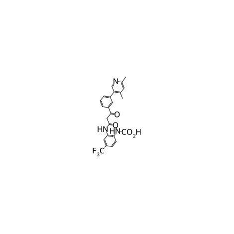 Cc1cc(C)c(-c2cccc(C(=O)CC(=O)Nc3cc(C(F)(F)F)ccc3NC(=O)O)c2)cn1